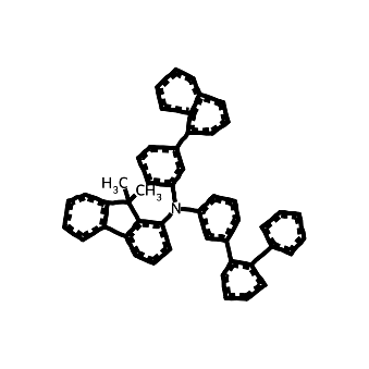 CC1(C)c2ccccc2-c2cccc(N(c3cccc(-c4ccccc4-c4ccccc4)c3)c3cccc(-c4cccc5ccccc45)c3)c21